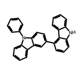 c1ccc(-n2c3ccccc3c3cc(-c4cccc5[nH]c6ccccc6c45)ccc32)cc1